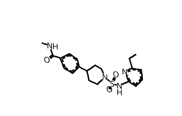 CCc1cccc(NS(=O)(=O)N2CCC(c3ccc(C(=O)NC)cc3)CC2)n1